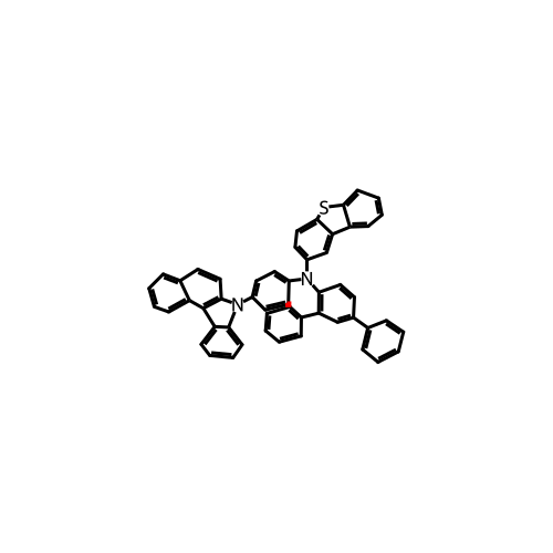 c1ccc(-c2ccc(N(c3ccc(-n4c5ccccc5c5c6ccccc6ccc54)cc3)c3ccc4sc5ccccc5c4c3)c(-c3ccccc3)c2)cc1